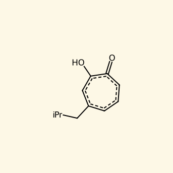 CC(C)Cc1cccc(=O)c(O)c1